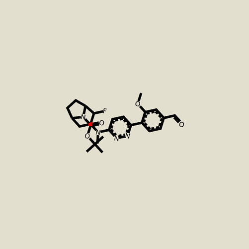 COc1cc(C=O)ccc1-c1ccc(N(C)C2CC3CCC(C2F)N3C(=O)OC(C)(C)C)nn1